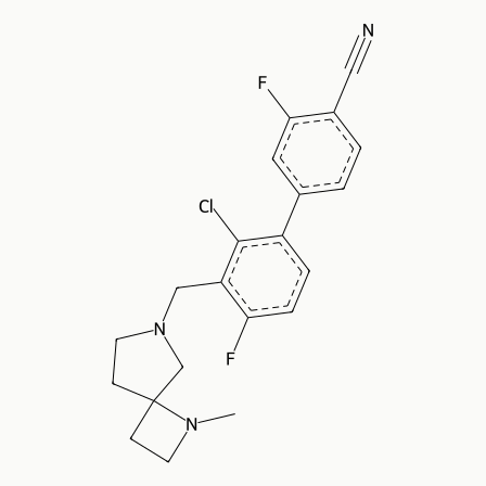 CN1CCC12CCN(Cc1c(F)ccc(-c3ccc(C#N)c(F)c3)c1Cl)C2